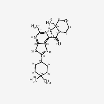 Cc1nc(C(=O)N2CCOCC2(C)C)c2nc(C3CCC(C)(C)CC3)sc2n1